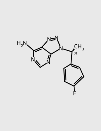 C[C@@H](c1ccc(F)cc1)n1nnc2c(N)ncnc21